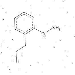 C=CCc1ccccc1N[SiH3]